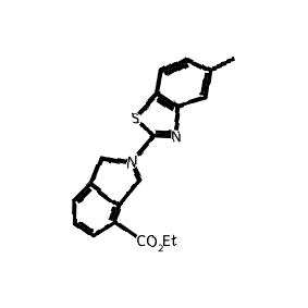 CCOC(=O)c1cccc2c1CN(c1nc3cc(C)ccc3s1)C2